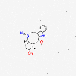 CO[C@@H]1CC2[C@@H](CC[C@H](O)[C@@H]2C)CN(C#N)CCc2c1[nH]c1ccccc21